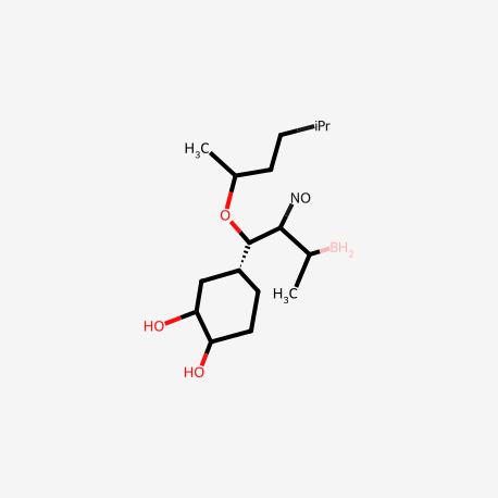 BC(C)C(N=O)C(OC(C)CCC(C)C)[C@@H]1CCC(O)C(O)C1